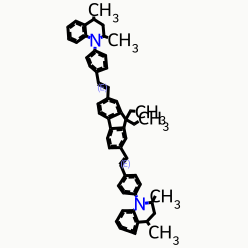 CCC1(CC)c2cc(/C=C/c3ccc(N4c5ccccc5C(C)CC4C)cc3)ccc2-c2ccc(/C=C/c3ccc(N4c5ccccc5C(C)CC4C)cc3)cc21